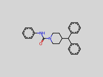 O=C(Nc1ccccc1)N1CCC(C(c2ccccc2)c2ccccc2)CC1